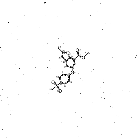 COC(=O)c1cc(Oc2ccc(S(C)(=O)=O)cc2)cc2cc(C)oc12